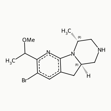 COC(C)c1nc2c(cc1Br)C[C@@H]1CNC[C@@H](C)N21